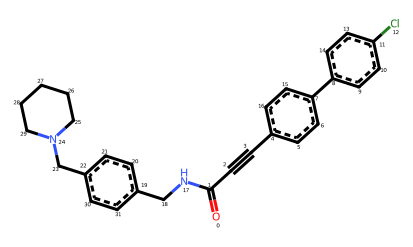 O=C(C#Cc1ccc(-c2ccc(Cl)cc2)cc1)NCc1ccc(CN2CCCCC2)cc1